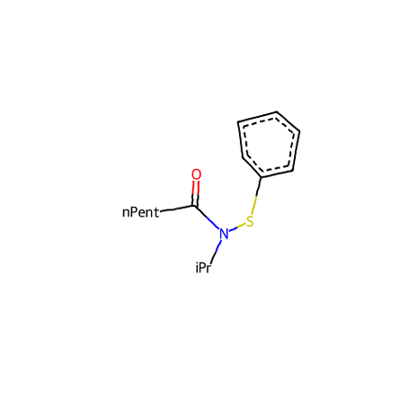 CCCCCC(=O)N(Sc1ccccc1)C(C)C